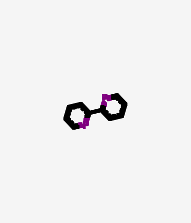 c1ccc(-c2ccccp2)pc1